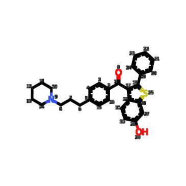 O=C(c1ccc(CCCN2CCCCC2)cc1)c1c(-c2ccccc2)sc2cc(O)ccc12